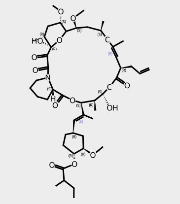 C=CC[C@@H]1/C=C(\C)C[C@H](C)C[C@H](OC)C2O[C@@](O)(C(=O)C(=O)N3CCCC[C@H]3C(=O)O[C@H](/C(C)=C/[C@@H]3CC[C@@H](OC(=O)C(C)CC)[C@H](OC)C3)[C@H](C)[C@@H](O)CC1=O)[C@H](C)C[C@@H]2OC